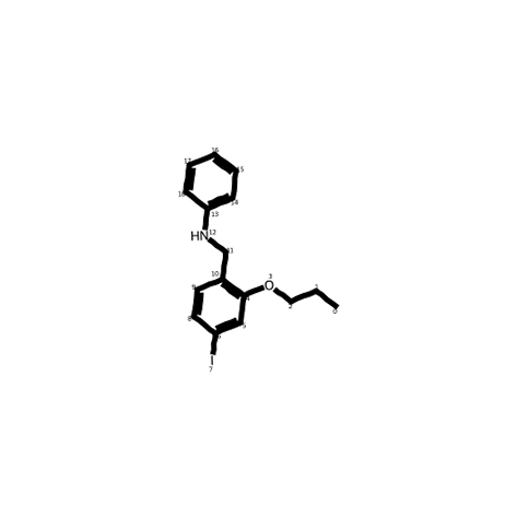 CCCOc1cc(I)ccc1CNc1cc[c]cc1